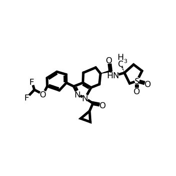 C[C@]1(NC(=O)[C@@H]2CCc3c(-c4cccc(OC(F)F)c4)nn(C(=O)C4CC4)c3C2)CCS(=O)(=O)C1